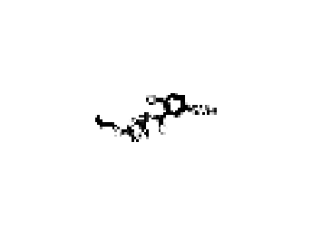 C=CCSc1nnc(NC(=O)c2cc(SC)ccc2Cl)s1